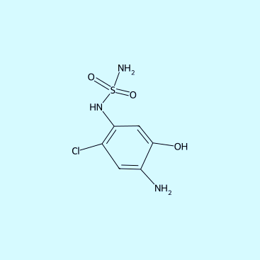 Nc1cc(Cl)c(NS(N)(=O)=O)cc1O